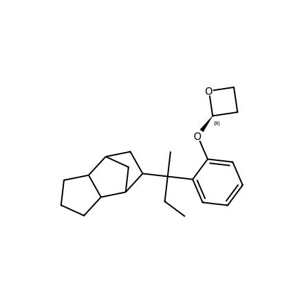 CCC(C)(c1ccccc1O[C@@H]1CCO1)C1CC2CC1C1CCCC21